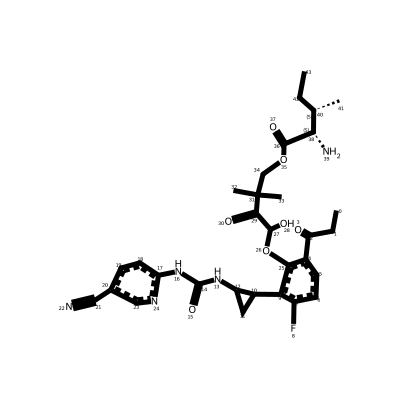 CCC(=O)c1ccc(F)c(C2CC2NC(=O)Nc2ccc(C#N)cn2)c1OC(O)C(=O)C(C)(C)COC(=O)[C@@H](N)[C@@H](C)CC